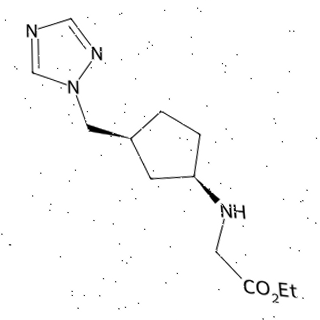 CCOC(=O)CN[C@@H]1CC[C@H](Cn2cncn2)C1